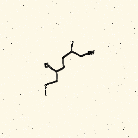 C[CH]CC(Cl)CCC(C)CO